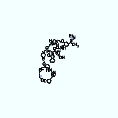 C=C(S/C=N\CC)c1ccc(CNC(=O)[C@@H]2C[C@@H](O)CN2C(=O)[C@H](C(C)C)N2Cc3ccccc3C2=O)c(OCCN2C[C@@H]3C[C@H]2CN3CCOCCN2CCN(CCOc3ccc4cc3COC/C=C/COCc3cccc(c3)-c3ccnc(n3)N4)CC2)c1